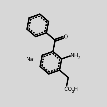 Nc1c(CC(=O)O)cccc1C(=O)c1ccccc1.[Na]